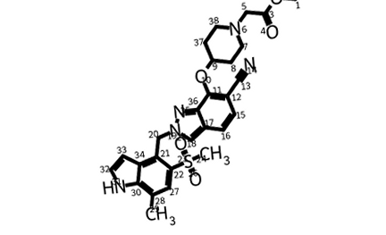 CCOC(=O)CN1CCC(Oc2c(C#N)ccc3cn(Cc4c(S(C)(=O)=O)cc(C)c5[nH]ccc45)nc23)CC1